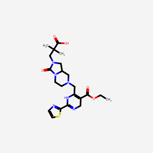 CCOC(=O)C1=C(CN2CCN3C(=O)N(CC(C)(C)C(=O)O)CC3C2)NC(c2nccs2)=NC1